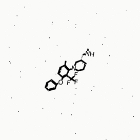 CNC[C@@H]1CCCN(c2c(C)ccc(Oc3ccccc3)c2C(F)(F)F)C1